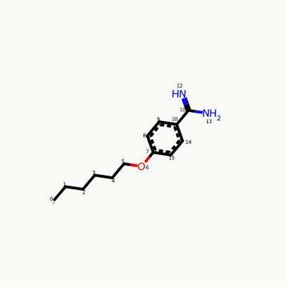 [CH2]CCCCCOc1ccc(C(=N)N)cc1